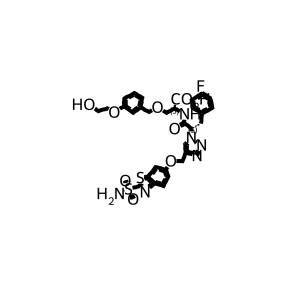 NS(=O)(=O)c1nc2ccc(OCc3cn([C@@H](Cc4ccc(F)cc4)C(=O)N[C@@H](COCc4cccc(OCCO)c4)C(=O)O)nn3)cc2s1